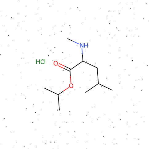 CNC(CC(C)C)C(=O)OC(C)C.Cl